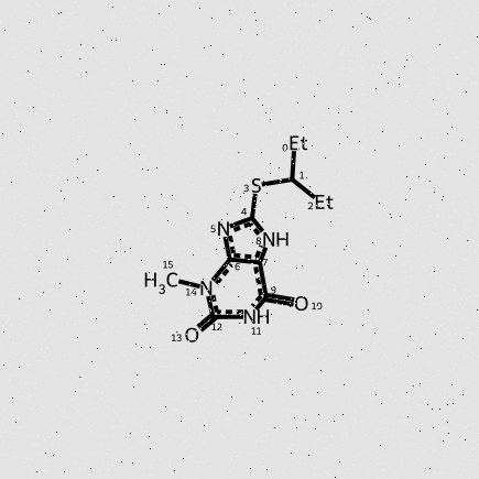 CCC(CC)Sc1nc2c([nH]1)c(=O)[nH]c(=O)n2C